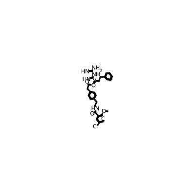 COc1ccc(Cl)cc1C(=O)NCCc1ccc(CC(=O)ON(CCc2ccccc2)C(=N)NC(=N)N)cc1